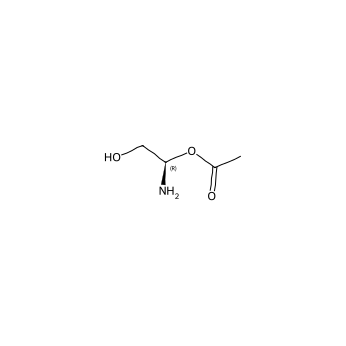 CC(=O)O[C@@H](N)CO